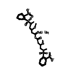 COC(CC(=O)OC(=O)CC(CN(C)S(=O)(=O)c1ccccc1[N+](=O)[O-])OC)CN(C)S(=O)(=O)c1ccccc1[N+](=O)[O-].[LiH].[LiH]